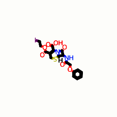 O=C(COc1ccccc1)NC1C(=O)N2C(C(=O)O)=C(C(=O)OCCI)CS[C@@H]12